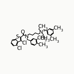 CC[N+](CC)(CCCCN(Cc1ccc(C)c(C)c1)C(=O)c1sc2cccc(Cl)c2c1Cl)Cc1cc(C)cc(C)c1